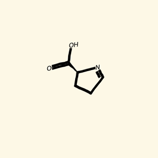 O=C(O)[C@@H]1CCC=N1